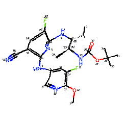 CC[C@@H](Nc1nc(Nc2cnc(OC)c(F)c2)c(C#N)cc1F)[C@H](C)NC(=O)OC(C)(C)C